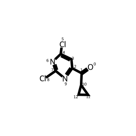 O=C(c1cc(Cl)nc(Cl)n1)C1CC1